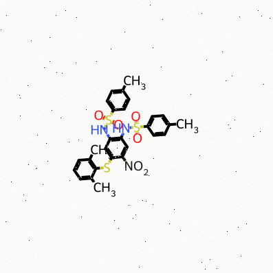 Cc1ccc(S(=O)(=O)Nc2cc(Sc3c(C)cccc3C)c([N+](=O)[O-])cc2NS(=O)(=O)c2ccc(C)cc2)cc1